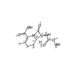 CC1=C(C(=O)C(C)(C)C)N2C(=O)[C@@H](NC(=O)OC(C)(C)C)[C@H]2SC1